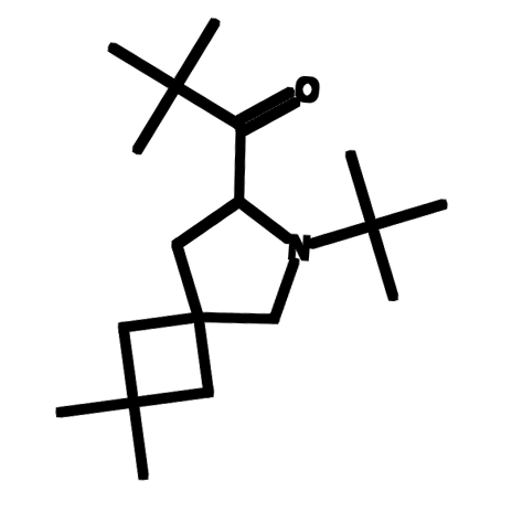 CC1(C)CC2(CC(C(=O)C(C)(C)C)N(C(C)(C)C)C2)C1